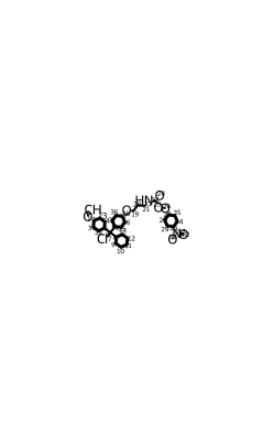 COc1ccc(C(Cl)(c2ccccc2)c2ccc(OCCCNC(=O)OOc3ccc([N+](=O)[O-])cc3)cc2)cc1